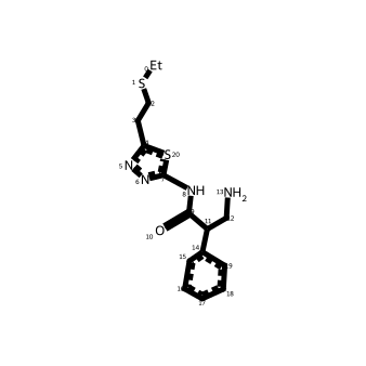 CCSCCc1nnc(NC(=O)C(CN)c2ccccc2)s1